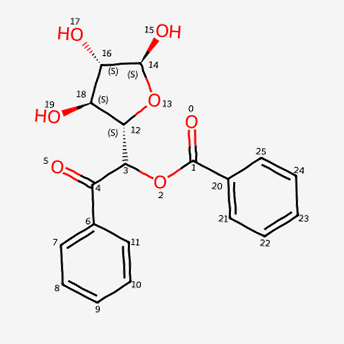 O=C(OC(C(=O)c1ccccc1)[C@H]1O[C@H](O)[C@@H](O)[C@@H]1O)c1ccccc1